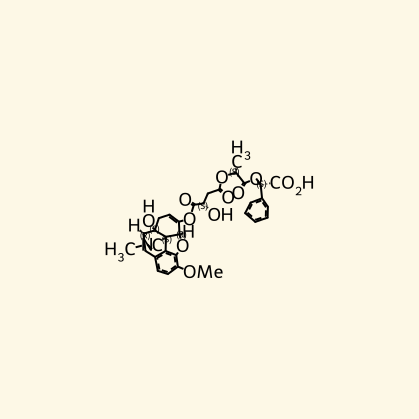 COc1ccc2c3c1O[C@H]1C(OC(=O)[C@@H](O)CC(=O)O[C@@H](C)C(=O)O[C@H](C(=O)O)c4ccccc4)=CC[C@@]4(O)[C@@H](C2)N(C)CC[C@]314